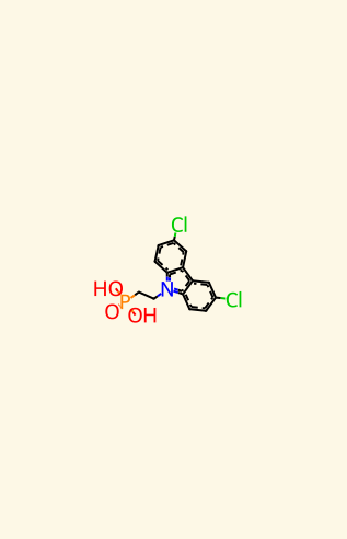 O=P(O)(O)CCn1c2ccc(Cl)cc2c2cc(Cl)ccc21